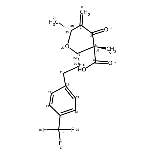 C=C1C(=O)[C@](C)(C(=O)O)[C@H](CCc2ccc(C(F)(F)F)cc2)O[C@@H]1C